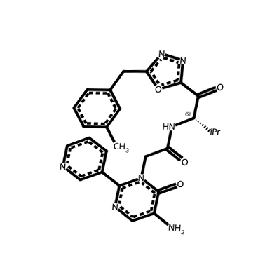 Cc1cccc(Cc2nnc(C(=O)[C@@H](NC(=O)Cn3c(-c4cccnc4)ncc(N)c3=O)C(C)C)o2)c1